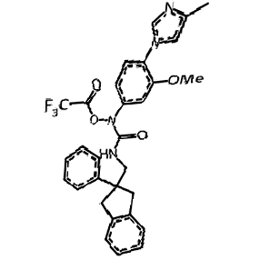 COc1cc(N(OC(=O)C(F)(F)F)C(=O)NCC2(c3ccccc3)Cc3ccccc3C2)ccc1-n1cnc(C)c1